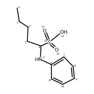 CCCCC(Nc1ccccc1)S(=O)(=O)O